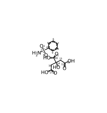 NS(=O)(=O)c1ccccc1.O=C(O)CC(O)(CC(=O)O)C(=O)O